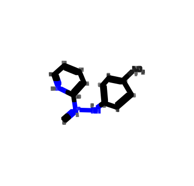 C=[N+](Nc1ccc([N+](=O)[O-])cc1)c1ccccn1